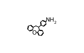 Nc1ccc(C2Cc3ccccc3Oc3ccccc32)cc1